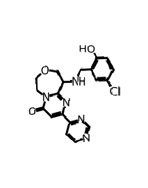 O=c1cc(-c2ccncn2)nc2n1CCOCC2NCc1cc(Cl)ccc1O